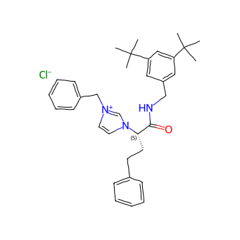 CC(C)(C)c1cc(CNC(=O)[C@H](CCc2ccccc2)n2cc[n+](Cc3ccccc3)c2)cc(C(C)(C)C)c1.[Cl-]